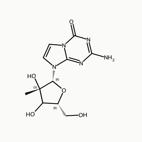 C[C@]1(O)C(O)[C@@H](CO)O[C@H]1n1ccn2c(=O)nc(N)nc12